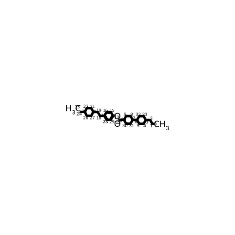 CCCC1CCC(C2CCC(C(=O)Oc3ccc(CCC4CCC(CC)CC4)cc3)CC2)CC1